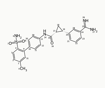 Cc1ccc(S(N)(=O)=O)c(-c2ccc(NC(=O)[C@@H]3C[C@@H]3c3cccc(C(=N)N)c3)cc2)c1